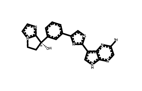 [2H]c1cnc2[nH]cc(-c3nc(-c4cccc([C@@]5(O)CCn6ccnc65)c4)cs3)c2n1